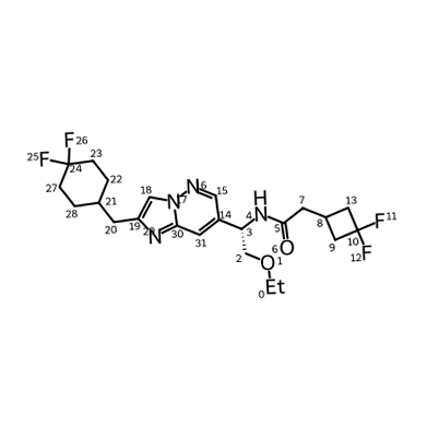 CCOC[C@@H](NC(=O)CC1CC(F)(F)C1)c1cnn2cc(CC3CCC(F)(F)CC3)nc2c1